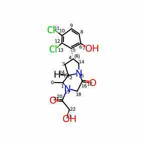 CC1[C@@H]2C[C@H](c3c(O)ccc(Cl)c3Cl)CN2C(=O)CN1C(=O)CO